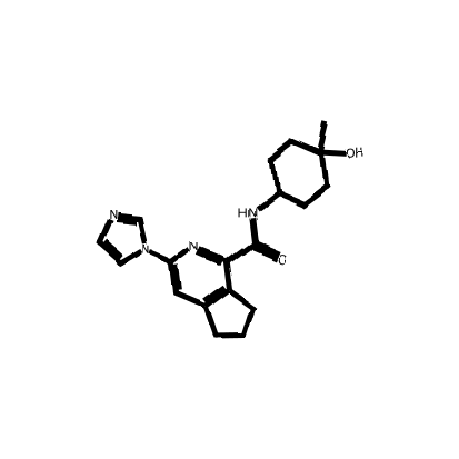 CC1(O)CCC(NC(=O)c2nc(-n3ccnc3)cc3c2CCC3)CC1